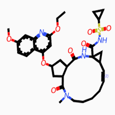 CCOc1cc(OC2CC3C(=O)NC4(C(=O)NS(=O)(=O)C5CC5)CC4/C=C\CCCCN(C)C(=O)C3C2)c2ccc(OC)cc2n1